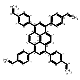 C=Cc1ccc(-c2cc(-c3ccc(C=C)cc3)c3ccc4c(-c5ccc(C=C)cc5)cc(-c5ccc(C=C)cc5)c5ccc2c3c54)cc1